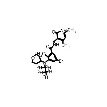 [2H]C([2H])([2H])C([2H])([2H])N(c1cc(Br)cc(C(=O)NCc2c(C)cc(C)[nH]c2=O)c1C)C1CCOCC1